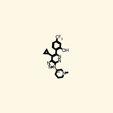 CN1CCC[C@@H](n2nnc3c(C4CC4)c(-c4ccc(C(F)(F)F)cc4O)nnc32)C1